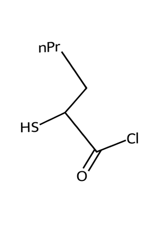 CCCCC(S)C(=O)Cl